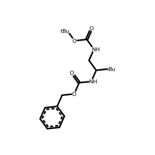 CCC(C)C(CNC(=O)OC(C)(C)C)NC(=O)OCc1ccccc1